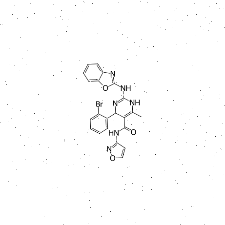 CC1=C(C(=O)Nc2ccon2)C(c2ccccc2Br)N=C(Nc2nc3ccccc3o2)N1